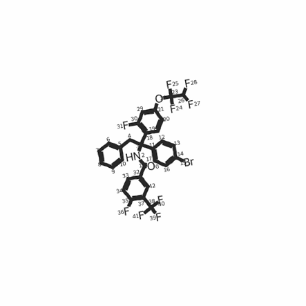 O=C(NC(Cc1ccccc1)(c1ccc(Br)cc1)c1ccc(OC(F)(F)C(F)F)cc1F)c1ccc(F)c(C(F)(F)F)c1